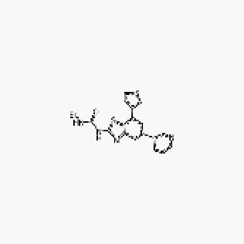 CCNC(=O)Nc1nc2cc(-c3cccnc3)cc(-c3ccsc3)c2s1